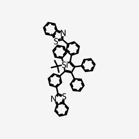 CC(C)(C)[Si]1(c2ccccc2)C(c2cccc(-c3nc4ccccc4s3)c2)=C(c2ccccc2)C(c2ccccc2)=C1c1cccc(-c2nc3ccccc3s2)c1